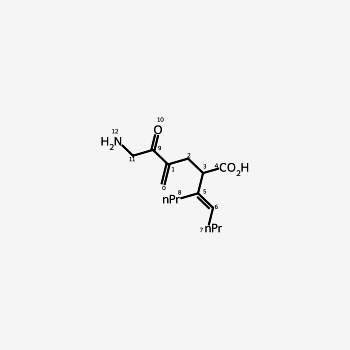 C=C(CC(C(=O)O)C(=CCCC)CCC)C(=O)CN